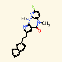 CCN1c2ncc(CCc3ccc4ccccc4c3)cc2C(=O)N(C)c2ccc(F)nc21